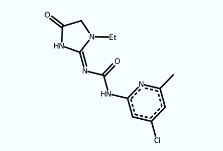 CCN1CC(=O)NC1=NC(=O)Nc1cc(Cl)cc(C)n1